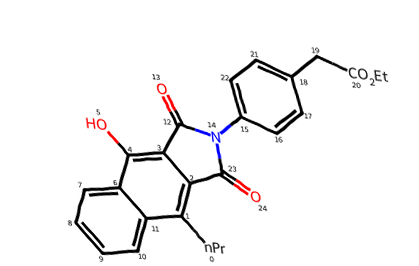 CCCc1c2c(c(O)c3ccccc13)C(=O)N(c1ccc(CC(=O)OCC)cc1)C2=O